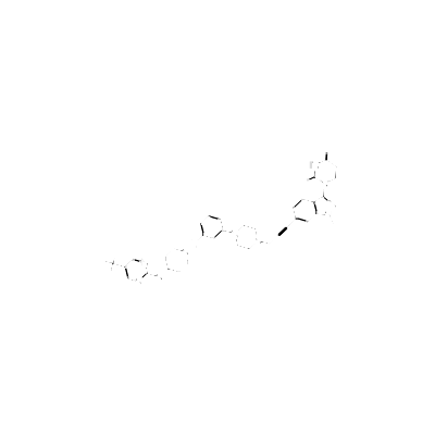 Cn1nc(N2CCC(=O)NC2=O)c2ccc(C#CCN3CCN(c4cccc(S(=O)(=O)N5CCC(Nc6ncc(C(F)(F)F)cn6)CC5)c4)CC3)cc21